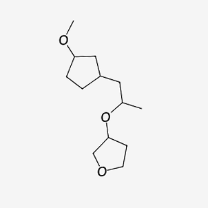 COC1CCC(CC(C)OC2CCOC2)C1